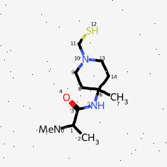 CNC(C)C(=O)NC1(C)CCN(CS)CC1